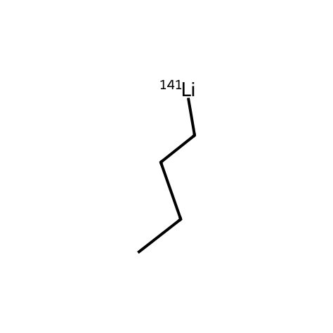 [141Li][CH2]CCC